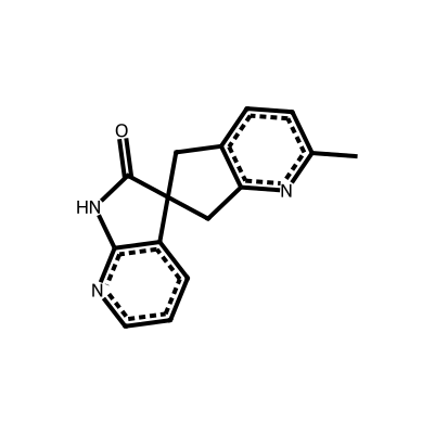 Cc1ccc2c(n1)CC1(C2)C(=O)Nc2ncccc21